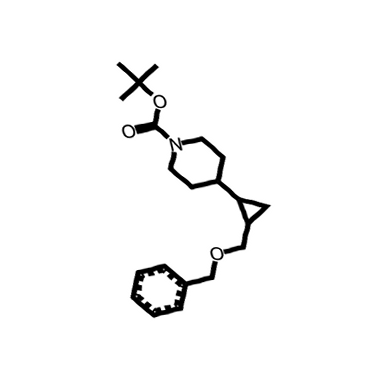 CC(C)(C)OC(=O)N1CCC(C2CC2COCc2ccccc2)CC1